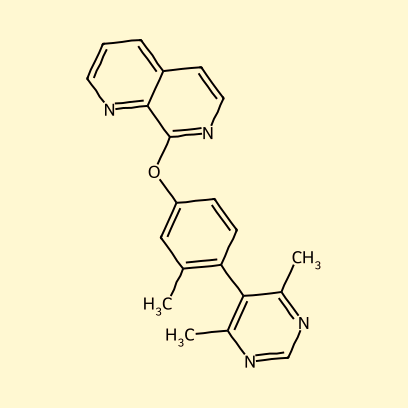 Cc1cc(Oc2nccc3cccnc23)ccc1-c1c(C)ncnc1C